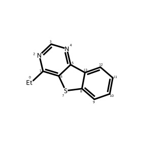 CCc1ncnc2c1sc1ccccc12